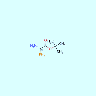 CC(C)(C)OC(=O)[C@@H](N)P